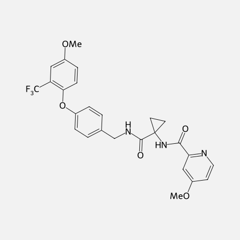 COc1ccnc(C(=O)NC2(C(=O)NCc3ccc(Oc4ccc(OC)cc4C(F)(F)F)cc3)CC2)c1